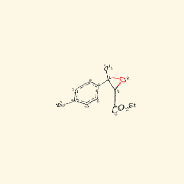 CCOC(=O)C1OC1(C)c1ccc(C(C)(C)C)cc1